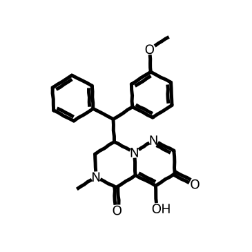 COc1cccc(C(c2ccccc2)C2CN(C)C(=O)c3c(O)c(=O)cnn32)c1